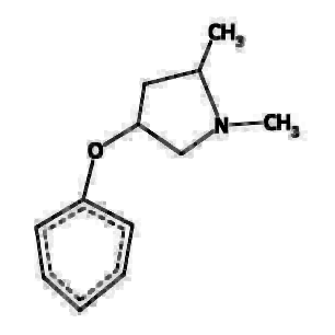 CC1CC(Oc2ccccc2)CN1C